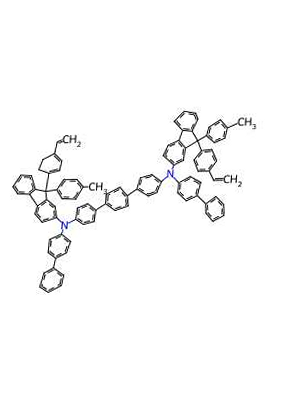 C=CC1=CC=C(C2(c3ccc(C)cc3)c3ccccc3-c3ccc(N(c4ccc(-c5ccccc5)cc4)c4ccc(-c5ccc(-c6ccc(N(c7ccc(-c8ccccc8)cc7)c7ccc8c(c7)C(c7ccc(C)cc7)(c7ccc(C=C)cc7)c7ccccc7-8)cc6)cc5)cc4)cc32)CC1